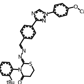 CC(C)(C)c1ccccc1N1C(=O)CCS/C1=N\N=C\c1ccc(-c2ncn(-c3ccc(OC(F)(F)F)cc3)n2)cc1